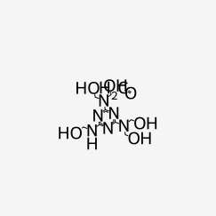 C=O.OCNc1nc(N(CO)CO)nc(N(CO)CO)n1